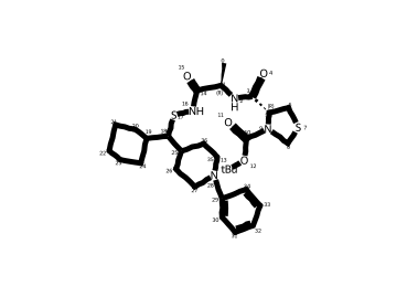 C[C@@H](NC(=O)[C@@H]1CSCN1C(=O)OC(C)(C)C)C(=O)NSC(C1CCCCC1)C1CCN(c2ccccc2)CC1